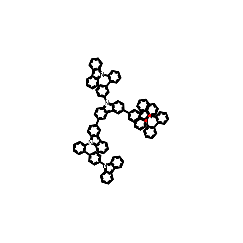 c1cc(-c2ccccc2-n2c3ccccc3c3ccccc32)cc(-n2c3ccc(-c4ccc5c(c4)c4ccccc4n5-c4ccccc4-c4ccc(-n5c6ccccc6c6ccccc65)cc4)cc3c3cc(-c4ccc5c(c4)c4ccccc4n5-c4ccccc4-c4ccccc4-n4c5ccccc5c5ccccc54)ccc32)c1